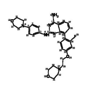 Nc1nc(Nc2ccc(N3CCOCC3)cc2)nc2c(-c3ccc(OCCN4CCOCC4)cc3F)cccc12